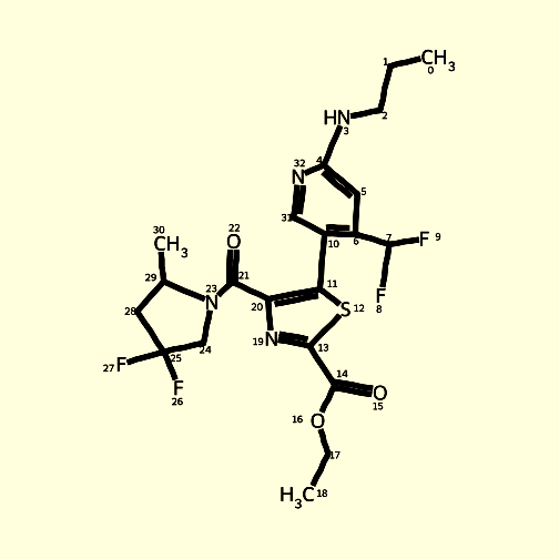 CCCNc1cc(C(F)F)c(-c2sc(C(=O)OCC)nc2C(=O)N2CC(F)(F)CC2C)cn1